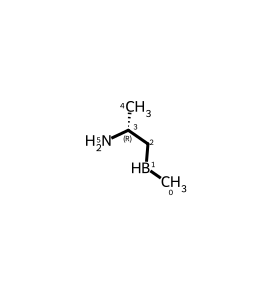 CBC[C@@H](C)N